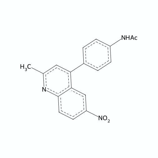 CC(=O)Nc1ccc(-c2cc(C)nc3ccc([N+](=O)[O-])cc23)cc1